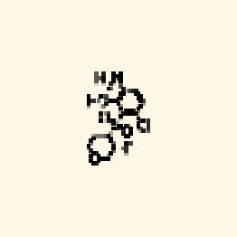 Nc1ccc(Cl)c(S(=O)(=O)[C@H]2CCOC[C@@H]2F)c1O